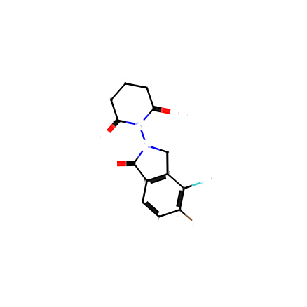 O=C1c2ccc(Br)c(F)c2CN1N1C(=O)CCCC1=O